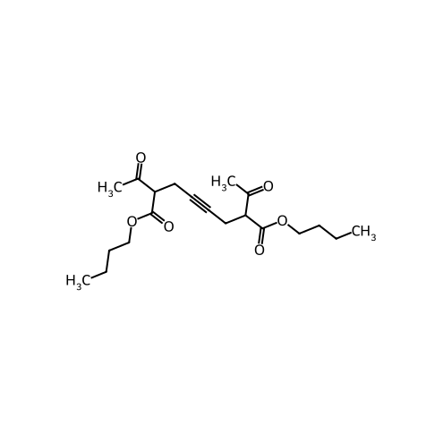 CCCCOC(=O)C(CC#CCC(C(C)=O)C(=O)OCCCC)C(C)=O